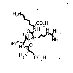 CC(C)C[C@H](NC(=O)[C@@H](N)CC(=O)O)C(=O)N[C@@H](CCCNC(=N)N)C(=O)N[C@@H](CCCCN)C(=O)O